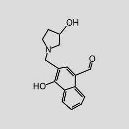 O=Cc1cc(CN2CCC(O)C2)c(O)c2ccccc12